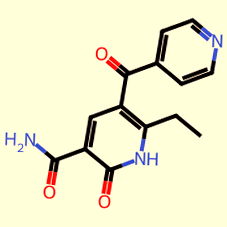 CCc1[nH]c(=O)c(C(N)=O)cc1C(=O)c1ccncc1